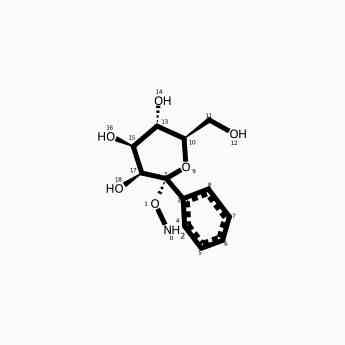 NO[C@@]1(c2ccccc2)O[C@H](CO)[C@@H](O)[C@H](O)[C@@H]1O